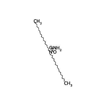 CCCCCCCCCCCCCCCCCCN(CCCCCCCCCCCCCCCCCC)C(=O)C(N)=O